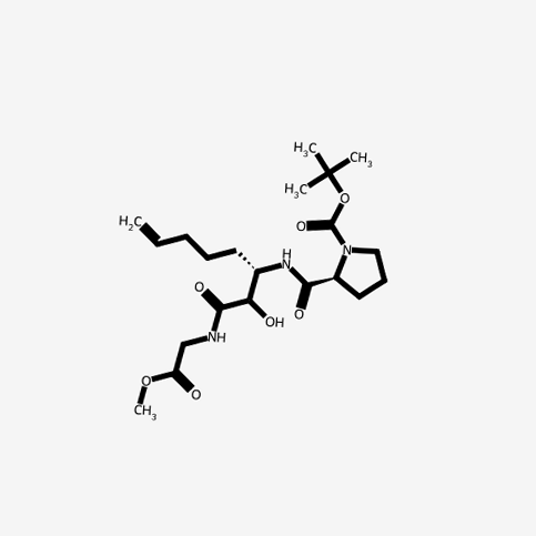 C=CCCC[C@H](NC(=O)[C@@H]1CCCN1C(=O)OC(C)(C)C)C(O)C(=O)NCC(=O)OC